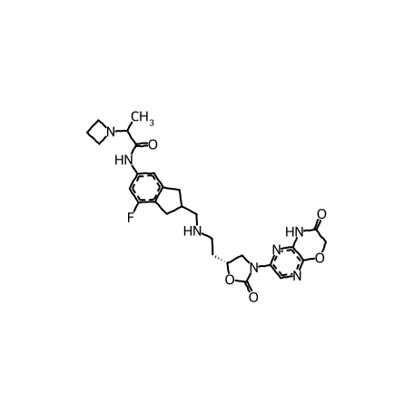 CC(C(=O)Nc1cc(F)c2c(c1)CC(CNCC[C@@H]1CN(c3cnc4c(n3)NC(=O)CO4)C(=O)O1)C2)N1CCC1